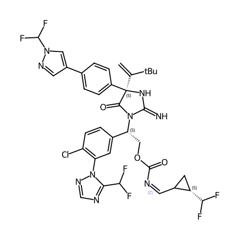 C=C(C(C)(C)C)[C@]1(c2ccc(-c3cnn(C(F)F)c3)cc2)NC(=N)N([C@H](COC(=O)/N=C\C2C[C@@H]2C(F)F)c2ccc(Cl)c(-n3ncnc3C(F)F)c2)C1=O